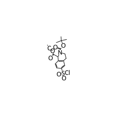 CCOC(=O)C1c2ccc(S(=O)(=O)Cl)cc2CCN1C(=O)OC(C)(C)C